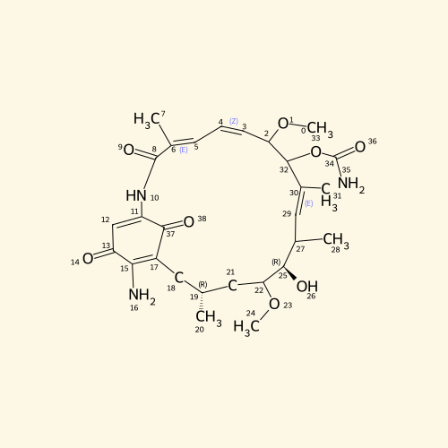 COC1/C=C\C=C(/C)C(=O)NC2=CC(=O)C(N)=C(C[C@@H](C)CC(OC)[C@H](O)C(C)/C=C(\C)C1OC(N)=O)C2=O